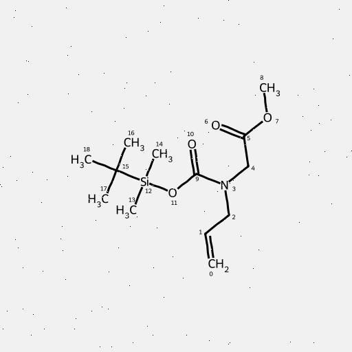 C=CCN(CC(=O)OC)C(=O)O[Si](C)(C)C(C)(C)C